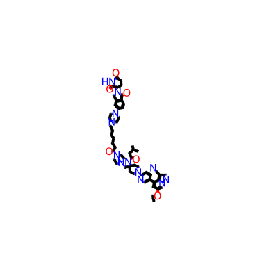 CCOc1cc(-c2ccc(N3CCC(CN4CCN(C(=O)CCCCCCN5CCN(c6ccc7c(c6)CN(C6CCC(=O)NC6=O)C7=O)CC5)CC4)(NC(=O)CC(C)C)CC3)nc2)c2c(C#N)cnn2c1